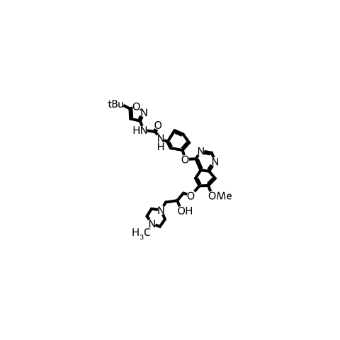 COc1cc2ncnc(Oc3cccc(NC(=O)Nc4cc(C(C)(C)C)on4)c3)c2cc1OCC(O)CN1CCN(C)CC1